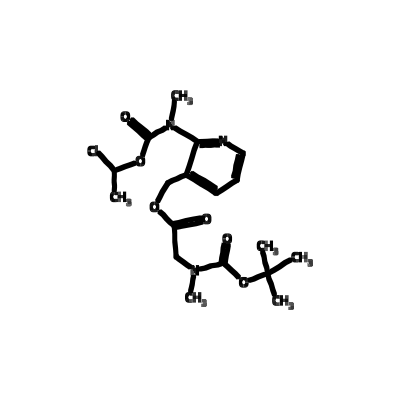 CC(Cl)OC(=O)N(C)c1ncccc1COC(=O)CN(C)C(=O)OC(C)(C)C